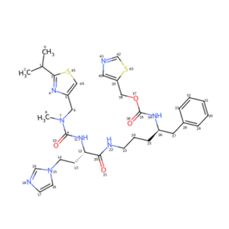 CC(C)c1nc(CN(C)C(=O)N[C@@H](CCn2ccnc2)C(=O)NCCC[C@H](Cc2ccccc2)NC(=O)OCc2cncs2)cs1